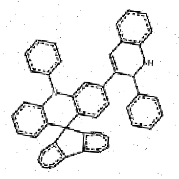 C1=C(c2ccc3c(c2)N(c2ccccc2)c2ccccc2C32c3ccccc3-c3ccccc32)C(c2ccccc2)Nc2ccccc21